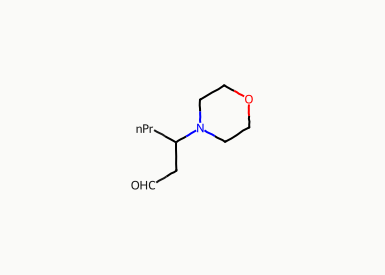 CCCC(CC=O)N1CCOCC1